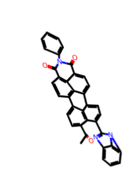 CC(=O)c1ccc2c3ccc4c5c(ccc(c6ccc(-c7nc8cccc9c8n7-9)c1c26)c53)C(=O)N(c1ccccc1)C4=O